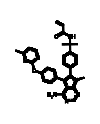 C=CC(=O)NC(C)(C)c1ccc(-c2c(-c3ccc(Oc4nccc(C)n4)cc3)c3c(N)ncnc3n2C)cc1